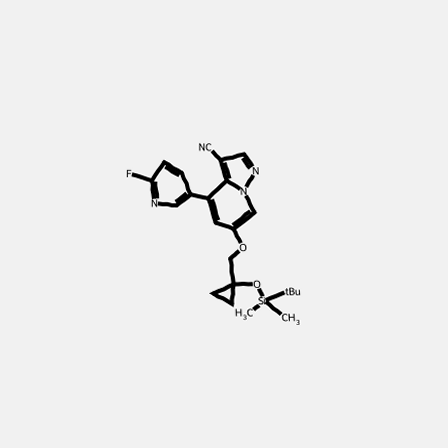 CC(C)(C)[Si](C)(C)OC1(COc2cc(-c3ccc(F)nc3)c3c(C#N)cnn3c2)CC1